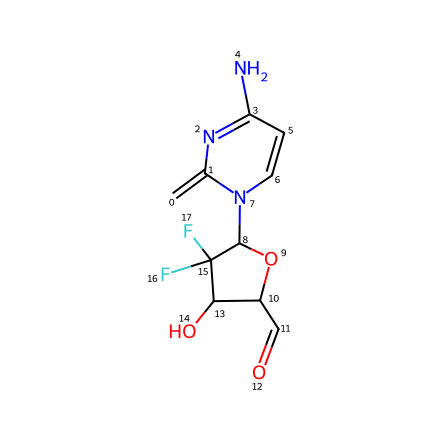 C=C1N=C(N)C=CN1C1OC(C=O)C(O)C1(F)F